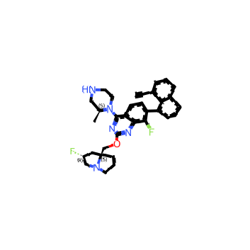 C#Cc1cccc2cccc(-c3ccc4c(N5CCNC[C@@H]5C)nc(OC[C@@]56CCCN5C[C@H](F)C6)nc4c3F)c12